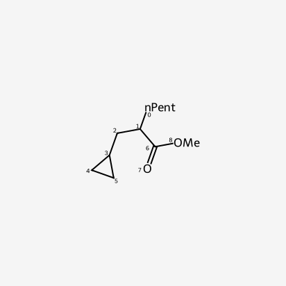 CCCCCC(CC1CC1)C(=O)OC